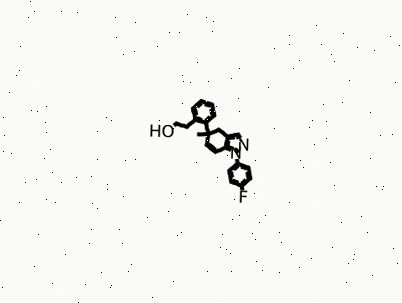 CC1(c2ccccc2CCO)C=Cc2c(cnn2-c2ccc(F)cc2)C1